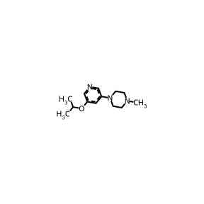 CC(C)Oc1cncc(N2CCN(C)CC2)c1